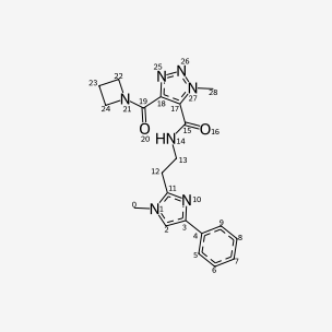 Cn1cc(-c2ccccc2)nc1CCNC(=O)c1c(C(=O)N2CCC2)nnn1C